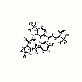 C=N/C(=N\C=C(/C)c1cc(CNC(=O)[C@@H]2C3C[C@H]3CN2S(=O)(=O)c2ccc(F)cc2)c(C(F)(F)F)cn1)C(F)(F)F